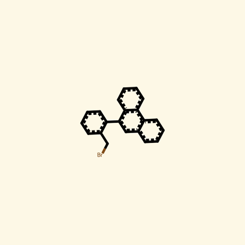 BrCc1ccccc1-c1cc2ccccc2c2ccccc12